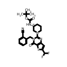 CC(C)(C)OC(=O)N[C@@H]1CCCN(c2nc3cc(C(F)F)sc3c(=O)n2Cc2ccccc2C#N)C1